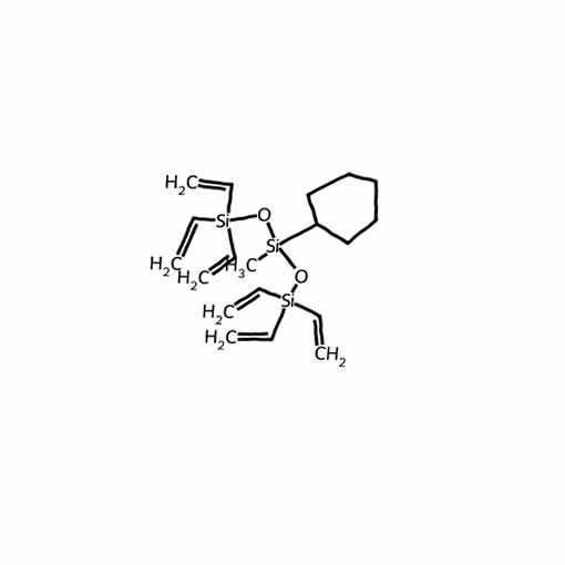 C=C[Si](C=C)(C=C)O[Si](C)(O[Si](C=C)(C=C)C=C)C1CCCCC1